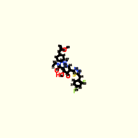 C=C(CC1CCC2(CC1)N(CC)C(=O)c1c(O)c(=O)c(-c3nnc(Cc4ccc(F)cc4F)s3)cn1N2C)OC